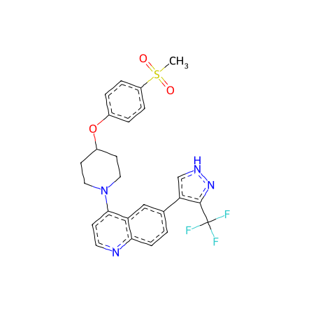 CS(=O)(=O)c1ccc(OC2CCN(c3ccnc4ccc(-c5c[nH]nc5C(F)(F)F)cc34)CC2)cc1